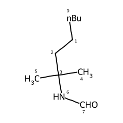 CCCCCCC(C)(C)NC=O